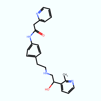 Cc1ncccc1C(O)CNCCc1ccc(NC(=O)Cc2ccccn2)cc1